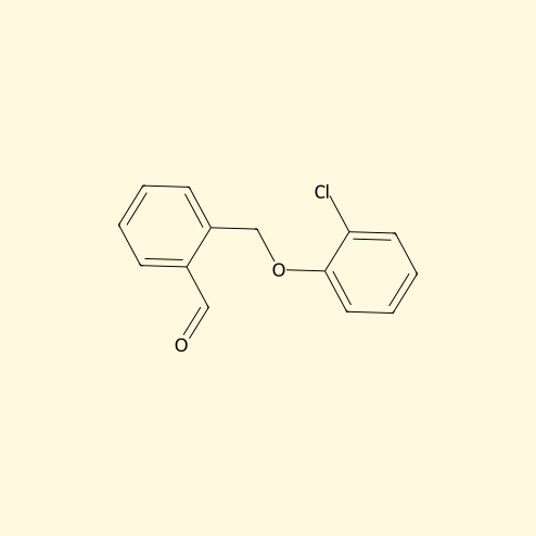 O=Cc1ccccc1COc1ccccc1Cl